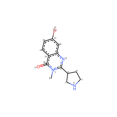 Cn1c(C2CCNC2)nc2cc(Br)ccc2c1=O